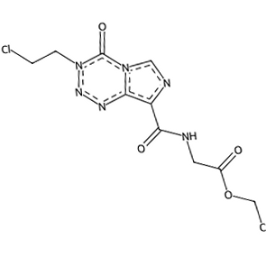 CCOC(=O)CNC(=O)c1ncn2c(=O)n(CCCl)nnc12